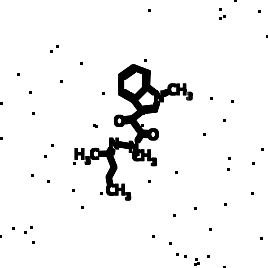 CCCC(C)=NN(C)C(=O)C(=O)c1cn(C)c2ccccc12